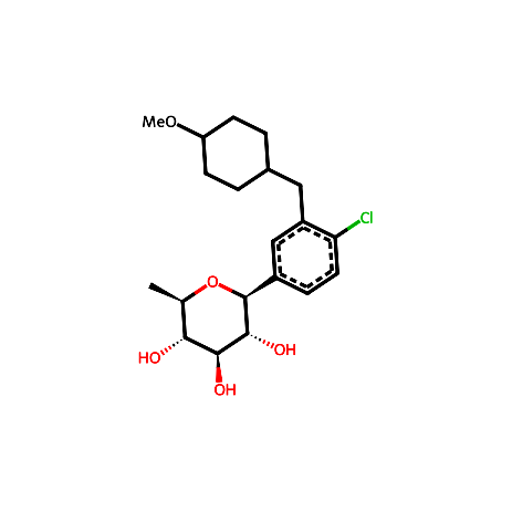 COC1CCC(Cc2cc([C@@H]3O[C@H](C)[C@@H](O)[C@H](O)[C@H]3O)ccc2Cl)CC1